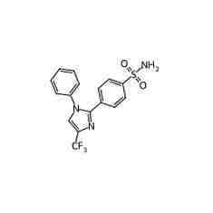 NS(=O)(=O)c1ccc(-c2nc(C(F)(F)F)cn2-c2ccccc2)cc1